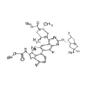 [2H]C1([2H])CN2C[C@H](F)C[C@]2(COc2nc(N3C[C@@H](C)N(C(=O)OC(C)(C)C)C[C@@H]3C)c3cc(C(F)(F)F)c(-c4ccc(F)c5sc(NC(=O)OC(C)(C)C)c(C#N)c45)c(F)c3n2)C1